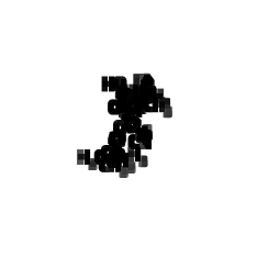 Cc1ncsc1-c1ccc(CNC(=O)[C@@H]2C[C@@H](O)CN2C(=O)[C@@H](NC(=O)C2(F)CC2)C(C)(C)C)c(OC2CCN(C(=O)OC(C)(C)C)CC2)c1